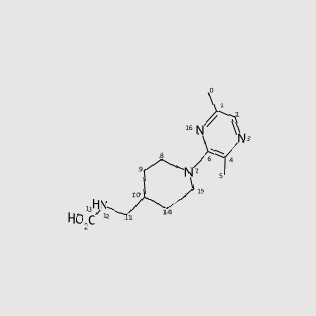 Cc1cnc(C)c(N2CCC(CNC(=O)O)CC2)n1